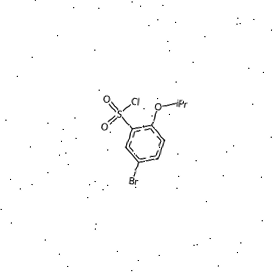 CC(C)Oc1ccc(Br)cc1S(=O)(=O)Cl